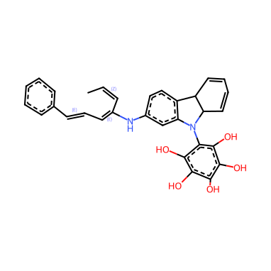 C\C=C/C(=C\C=C\c1ccccc1)Nc1ccc2c(c1)N(c1c(O)c(O)c(O)c(O)c1O)C1C=CC=CC21